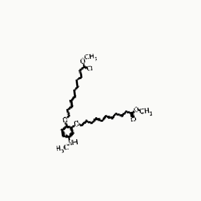 CNc1ccc(OCCCCCCCCCCC(=O)OC)c(OCCCCCCCCCCC(=O)OC)c1